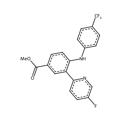 COC(=O)c1ccc(Nc2ccc(C(F)(F)F)cc2)c(-c2ccc(F)cn2)c1